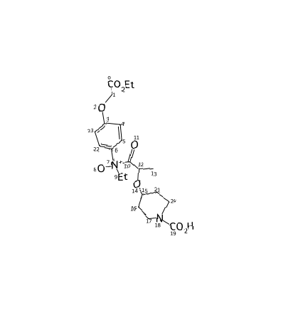 CCOC(=O)COc1ccc([N+]([O-])(CC)C(=O)C(C)OC2CCN(C(=O)O)CC2)cc1